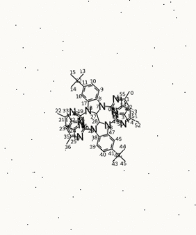 Cc1cc(C)nc(N2c3ccc(C(C)(C)C)cc3N(c3nc(C)cc(C)n3)C2C2N(c3nc(C)cc(C)n3)c3ccc(C(C)(C)C)cc3N2c2nc(C)cc(C)n2)n1